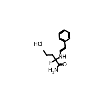 CCCC(F)(NC=Cc1ccccc1)C(N)=O.Cl